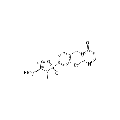 CCOC(=O)[C@@H]([C@H](C)CC)N(C)S(=O)(=O)c1ccc(Cn2c(CC)nccc2=O)cc1